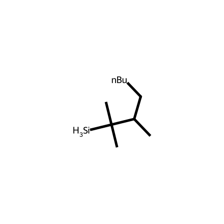 CCCCCC(C)C(C)(C)[SiH3]